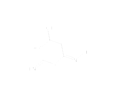 C/N=C(\CC(C)C)SC=N